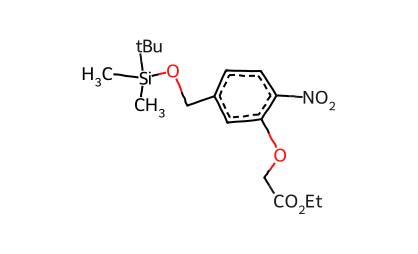 CCOC(=O)COc1cc(CO[Si](C)(C)C(C)(C)C)ccc1[N+](=O)[O-]